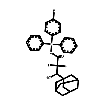 O=C(OS(c1ccccc1)(c1ccccc1)c1ccc(F)cc1)C(F)(F)C(O)C12CC3CC(CC(C3)C1)C2